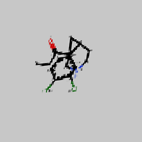 CCC(=O)C12CNCCC1(c1ccc(Cl)c(Cl)c1)C2